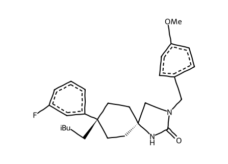 CCC(C)C[C@]1(c2cccc(F)c2)CC[C@]2(CC1)CN(Cc1ccc(OC)cc1)C(=O)N2